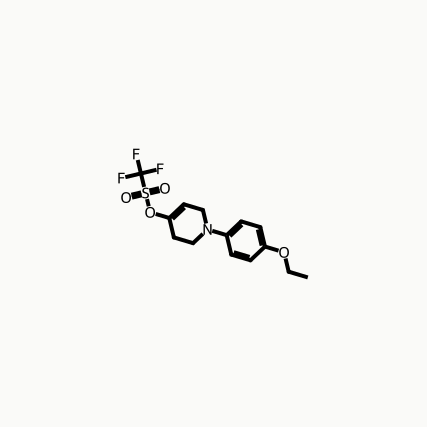 CCOc1ccc(N2CC=C(OS(=O)(=O)C(F)(F)F)CC2)cc1